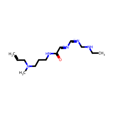 C=CCN(C)CCCNC(=O)/C=N/C=N\CNCC